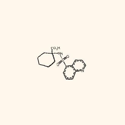 O=C(O)C1(NS(=O)(=O)c2cccc3ncccc23)CCCCC1